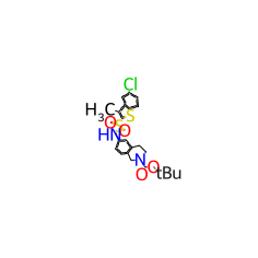 Cc1c(S(=O)(=O)Nc2ccc3c(c2)CCN(C(=O)OC(C)(C)C)C3)sc2ccc(Cl)cc12